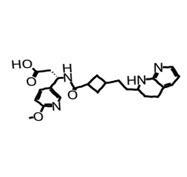 COc1ccc([C@H](CC(=O)O)NC(=O)C2CC(CCC3CCc4cccnc4N3)C2)cn1